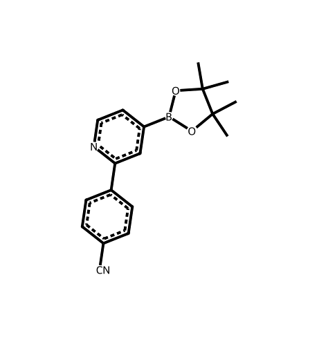 CC1(C)OB(c2ccnc(-c3ccc(C#N)cc3)c2)OC1(C)C